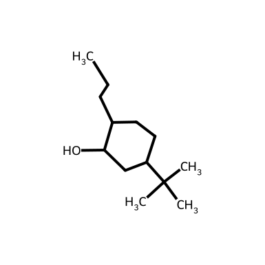 CCCC1CCC(C(C)(C)C)CC1O